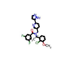 COc1cccc([C@H](C)N(Cc2ccc(-c3ccn[nH]3)nc2)C(=O)c2cc(F)cc(F)c2)c1Cl